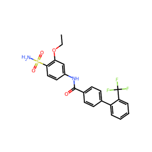 CCOc1cc(NC(=O)c2ccc(-c3ccccc3C(F)(F)F)cc2)ccc1S(N)(=O)=O